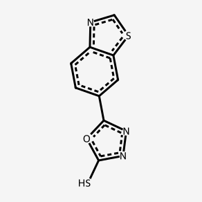 Sc1nnc(-c2ccc3ncsc3c2)o1